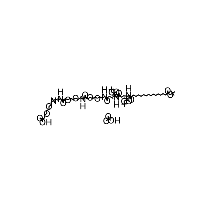 CC(C)(C)OC(=O)CCCCCCCCCCCCCCC(=O)N[C@@H](CCC(=O)N[C@@H](CCC(=O)NCCOCCOCC(=O)NCCOCCOCC(=O)NCC[N+](C)(C)CCOCCOCCC(=O)O)C(=O)OC(C)(C)C)C(=O)OC(C)(C)C.O=C([O-])O